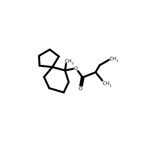 CCC(C)C(=O)OC1(C)CCCCC12CCCC2